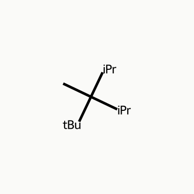 [CH2]C(C)(C)C(C)(C(C)C)C(C)C